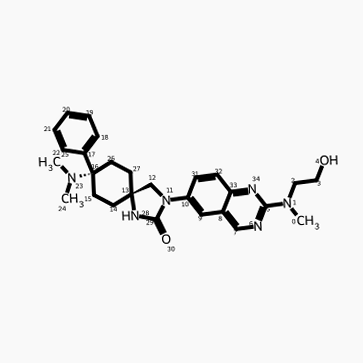 CN(CCO)c1ncc2cc(N3C[C@]4(CC[C@](c5ccccc5)(N(C)C)CC4)NC3=O)ccc2n1